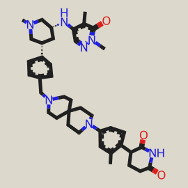 Cc1cc(N2CCC3(CCN(Cc4ccc([C@H]5C[C@@H](Nc6cnn(C)c(=O)c6C)CN(C)C5)cc4)CC3)CC2)ccc1C1CCC(=O)NC1=O